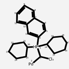 Cl[CH]([Pd])[PH](c1ccc2ccccc2c1)(C1CCCCC1)C1CCCCC1